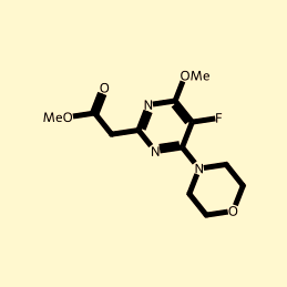 COC(=O)Cc1nc(OC)c(F)c(N2CCOCC2)n1